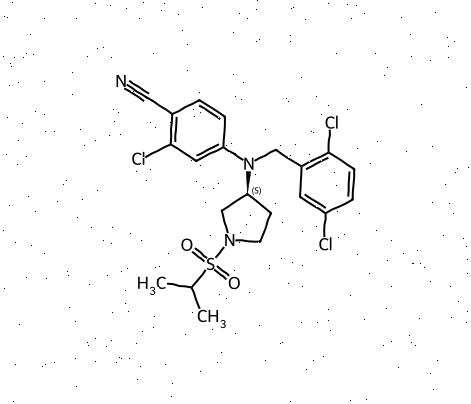 CC(C)S(=O)(=O)N1CC[C@H](N(Cc2cc(Cl)ccc2Cl)c2ccc(C#N)c(Cl)c2)C1